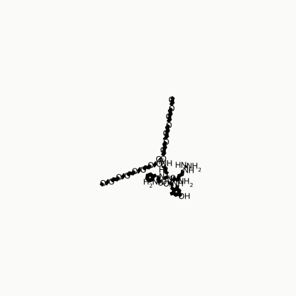 COCCOCCOCCOCCOCCOCCOCCOP(=O)(NCCCC[C@H](NC(=O)[C@H](Cc1c(C)cc(O)cc1C)NC(=O)[C@H](N)CCCNC(=N)N)C(=O)N[C@@H](Cc1ccccc1)C(N)=O)OCCOCCOCCOCCOCCOCCOCCOC